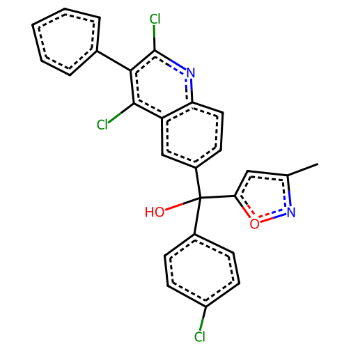 Cc1cc(C(O)(c2ccc(Cl)cc2)c2ccc3nc(Cl)c(-c4ccccc4)c(Cl)c3c2)on1